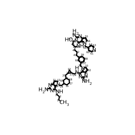 CCCCNc1nc(N)nc2ccn(CC3CCCC(CC4CC4CNc4nc(N)nc5ccn(Cc6cccc(CCC[C@@H](CCO)Nc7nc(N)nc8ccn(Cc9ccncc9)c78)c6)c45)C3)c12